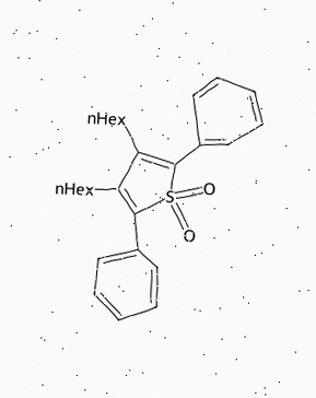 CCCCCCC1=C(c2ccccc2)S(=O)(=O)C(c2ccccc2)=C1CCCCCC